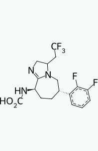 O=C(O)N[C@@H]1CC[C@@H](c2cccc(F)c2F)CN2C1=NCC2CC(F)(F)F